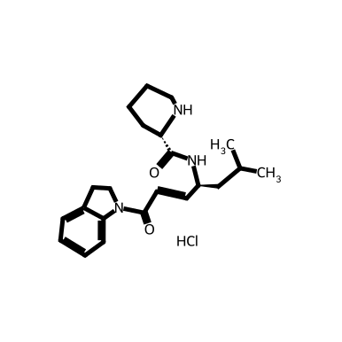 CC(C)C[C@@H](/C=C/C(=O)N1CCc2ccccc21)NC(=O)[C@@H]1CCCCN1.Cl